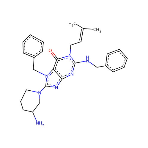 CC(C)=CCn1c(NCc2ccccc2)nc2nc(N3CCCC(N)C3)n(Cc3ccccc3)c2c1=O